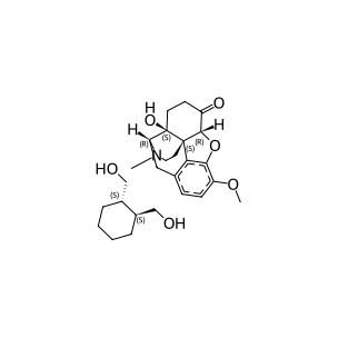 COc1ccc2c3c1O[C@H]1C(=O)CC[C@@]4(O)[C@@H](C2)N(C)CC[C@]314.OC[C@H]1CCCC[C@@H]1CO